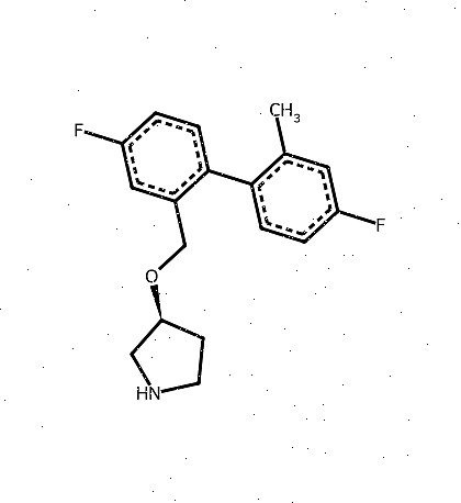 Cc1cc(F)ccc1-c1ccc(F)cc1CO[C@H]1CCNC1